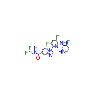 O=C(NCC(F)F)c1ccn2c(-c3nc(NC4CNCCC4F)c(F)cc3F)cnc2c1